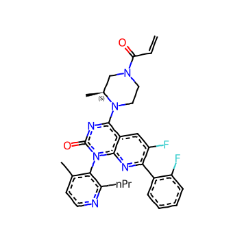 C=CC(=O)N1CCN(c2nc(=O)n(-c3c(C)ccnc3CCC)c3nc(-c4ccccc4F)c(F)cc23)[C@@H](C)C1